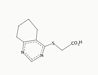 O=C(O)CSc1ncnc2c1CCCC2